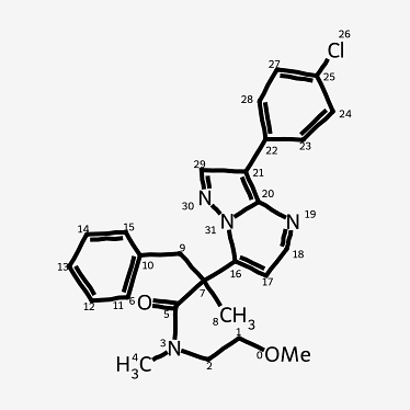 COCCN(C)C(=O)C(C)(Cc1ccccc1)c1ccnc2c(-c3ccc(Cl)cc3)cnn12